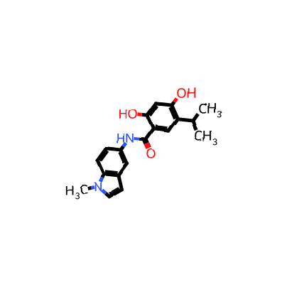 CC(C)c1cc(C(=O)Nc2ccc3c(ccn3C)c2)c(O)cc1O